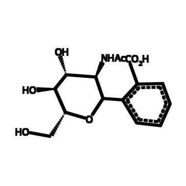 CC(=O)N[C@H]1C(c2ccccc2C(=O)O)O[C@H](CO)[C@@H](O)[C@@H]1O